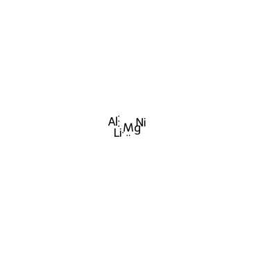 [Al].[Li].[Mg].[Ni]